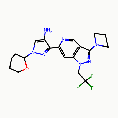 Nc1cn(C2CCCCO2)nc1-c1cc2c(cn1)c(N1CCC1)nn2CC(F)(F)F